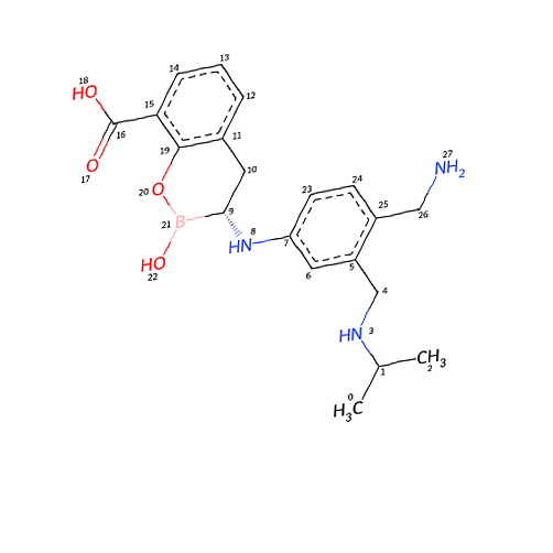 CC(C)NCc1cc(N[C@H]2Cc3cccc(C(=O)O)c3OB2O)ccc1CN